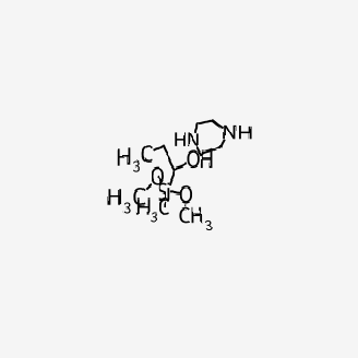 C1CNCCN1.CCC(O)[Si](C)(OC)OC